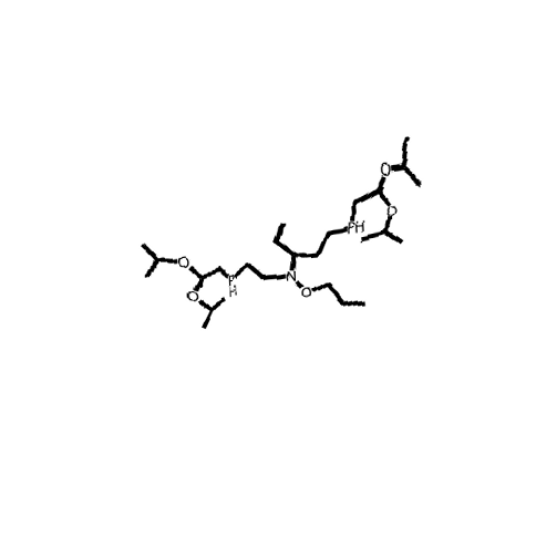 CCCON(CCPCC(OC(C)C)OC(C)C)C(CC)CCPCC(OC(C)C)OC(C)C